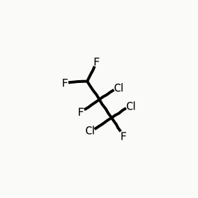 FC(F)C(F)(Cl)C(F)(Cl)Cl